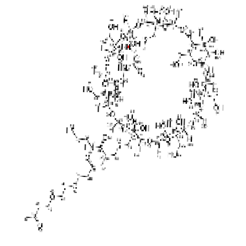 CN[C@H](CSCC1O[C@H]2O[C@@H]3C(CO)O[C@H](O[C@@H]4C(CO)O[C@H](O[C@@H]5C(CO)O[C@H](O[C@@H]6C(CSC[C@@H](CC(=O)CCOCCOCCC(C)=O)C(=O)NCCS)O[C@H](O[C@@H]7C(CO)O[C@@H](O[C@@H]8C(CO)O[C@@H](O[C@H]1[C@H](O)C2O)C(O)[C@H]8O)C(O)[C@H]7O)C(O)[C@@H]6O)C(O)[C@H]5O)C(O)[C@H]4O)C(O)[C@H]3O)C(=O)NCCS